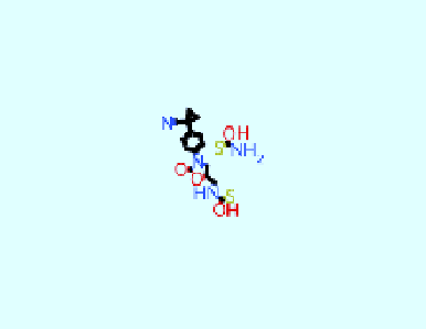 N#CC1(c2ccc(N3CC(CNC(O)=S)OC3=O)cc2)CC1.NC(O)=S